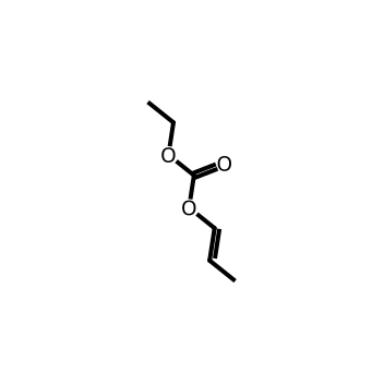 CC=COC(=O)OCC